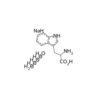 NC(Cc1c[nH]c2ccccc12)C(=O)O.O.O.O.O.O.[NaH]